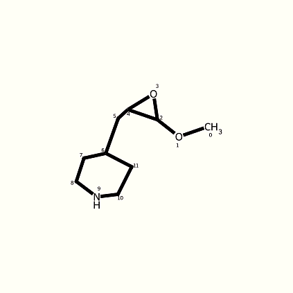 COC1OC1CC1CCNCC1